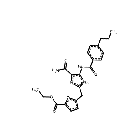 CCCc1ccc(C(=O)Nc2[nH]c(Cc3ccc(C(=O)OCC)o3)nc2C(N)=O)cc1